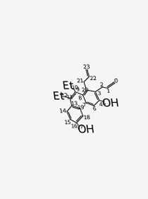 C=CCc1c(O)ccc(C(CC)=C(CC)c2ccc(O)cc2)c1CC=C